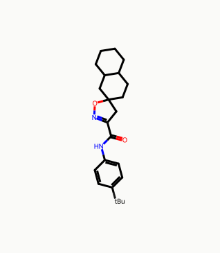 CC(C)(C)c1ccc(NC(=O)C2=NOC3(CCC4CCCCC4C3)C2)cc1